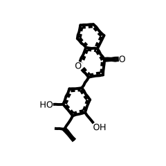 C=C(C)c1c(O)cc(-c2cc(=O)c3ccccc3o2)cc1O